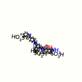 Cc1ccc2nc(-c3ccc(N=Nc4ccc(N=Nc5c(S(=O)(=O)O)cc6cc(S(=O)(=O)O)c(N)cc6c5O)c5c4CC=C(S(=O)(=O)O)C5)cc3)sc2c1S(=O)(=O)O